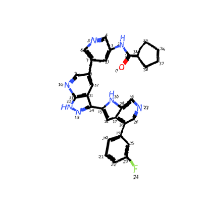 O=C(Nc1cncc(-c2cnc3[nH]nc(-c4cc5c(-c6cccc(F)c6)cncc5[nH]4)c3c2)c1)C1CCCC1